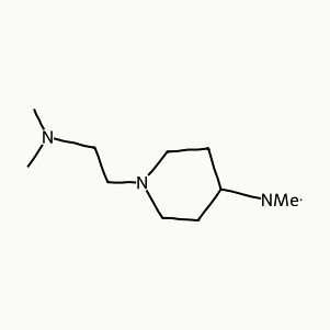 C[N]C1CCN(CCN(C)C)CC1